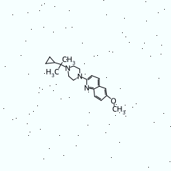 COc1ccc2nc(N3CCN(C(C)(C)C4CC4)CC3)ccc2c1